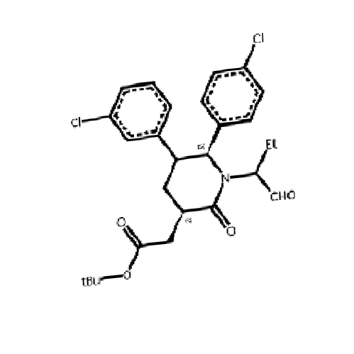 CCC(C=O)N1C(=O)[C@@H](CC(=O)OC(C)(C)C)CC(c2cccc(Cl)c2)[C@H]1c1ccc(Cl)cc1